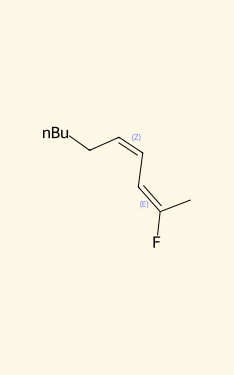 CCCCC/C=C\C=C(/C)F